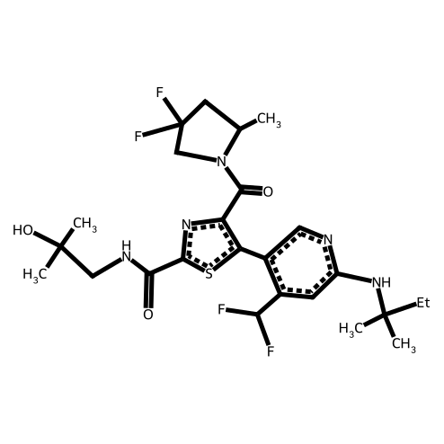 CCC(C)(C)Nc1cc(C(F)F)c(-c2sc(C(=O)NCC(C)(C)O)nc2C(=O)N2CC(F)(F)CC2C)cn1